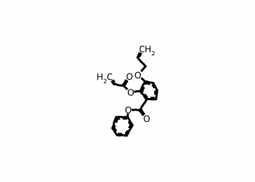 C=CCOc1cccc(C(=O)Oc2ccccc2)c1OC(=O)C=C